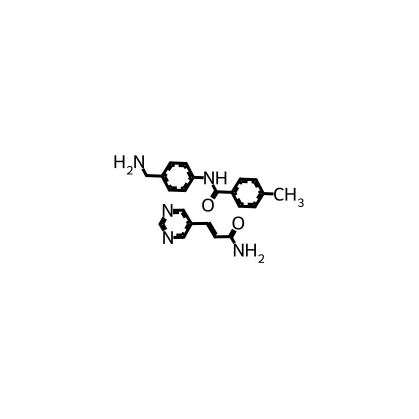 Cc1ccc(C(=O)Nc2ccc(CN)cc2)cc1.NC(=O)C=Cc1cncnc1